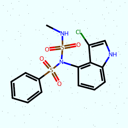 CNS(=O)(=O)N(c1cccc2[nH]cc(Cl)c12)S(=O)(=O)c1ccccc1